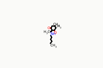 CCCCCCNC(C)=C1C(=O)CC(C)(C)CC1=O